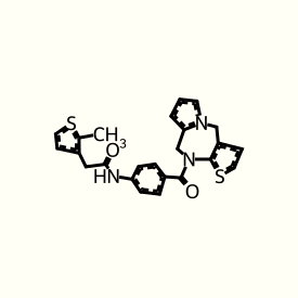 Cc1sccc1CC(=O)Nc1ccc(C(=O)N2Cc3cccn3Cc3ccsc32)cc1